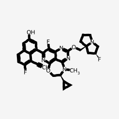 C#Cc1c(F)ccc2cc(O)cc(-c3nc4c5c(nc(OC[C@@]67CCCN6C[C@H](F)C7)nc5c3F)N(C)[C@@H](C3CC3)CO4)c12